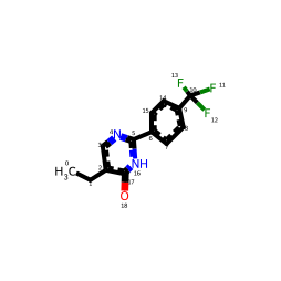 CCc1cnc(-c2ccc(C(F)(F)F)cc2)[nH]c1=O